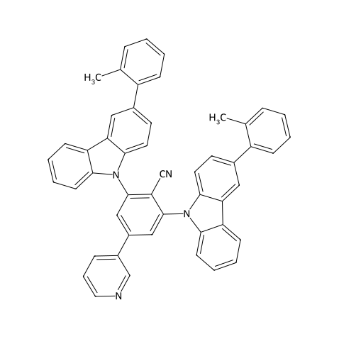 Cc1ccccc1-c1ccc2c(c1)c1ccccc1n2-c1cc(-c2cccnc2)cc(-n2c3ccccc3c3cc(-c4ccccc4C)ccc32)c1C#N